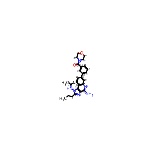 CCCc1nc2c(N)nc3cc(-c4cccc(C(=O)N5CCOCC5)c4)ccc3c2n1NC(C)C